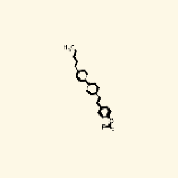 CCCCC[C@H]1CC[C@H]([C@H]2CC[C@H](CCc3ccc(OC(F)F)cc3)CC2)CC1